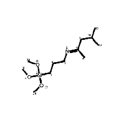 CO[Si](CCC/N=C(\C)CC(C)C)(OC)OC